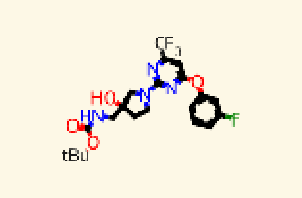 CC(C)(C)OC(=O)NCC1(O)CCN(c2nc(Oc3cccc(F)c3)cc(C(F)(F)F)n2)C1